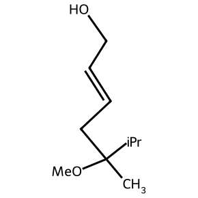 COC(C)(CC=CCO)C(C)C